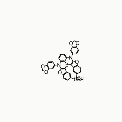 CC(C)(C)c1ccc2oc3c(c2c1)B1c2c(cccc2N(c2ccc4c(c2)OCO4)c2oc4ccc(C(C)(C)C)cc4c21)N3c1ccc2c(c1)OCO2